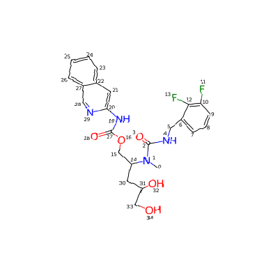 CN(C(=O)NCc1cccc(F)c1F)C(COC(=O)Nc1cc2ccccc2cn1)CC(O)CO